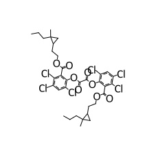 CCCC1(C)CC1CCOC(=O)c1c(Cl)c(Cl)cc(Cl)c1OC(=O)C(=O)Oc1c(Cl)cc(Cl)c(Cl)c1C(=O)OCCC1CC1(C)CCC